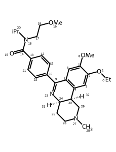 CCOc1cc2c(cc1OC)C(c1ccc(C(=O)N(CCOC)C(C)C)cc1)=N[C@@H]1CCN(C)C[C@H]21